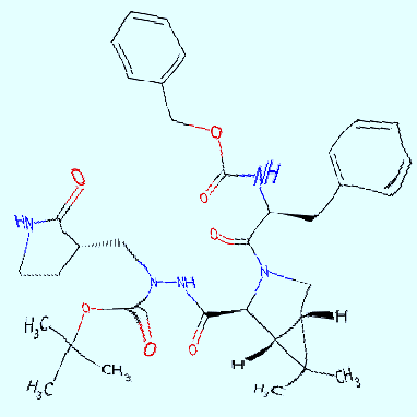 CC(C)(C)OC(=O)N(C[C@@H]1CCNC1=O)NC(=O)[C@@H]1[C@@H]2[C@H](CN1C(=O)[C@H](Cc1ccccc1)NC(=O)OCc1ccccc1)C2(C)C